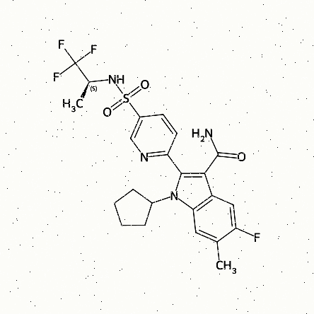 Cc1cc2c(cc1F)c(C(N)=O)c(-c1ccc(S(=O)(=O)N[C@@H](C)C(F)(F)F)cn1)n2C1CCCC1